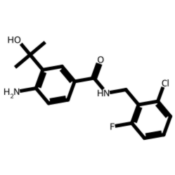 CC(C)(O)c1cc(C(=O)NCc2c(F)cccc2Cl)ccc1N